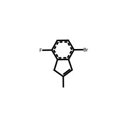 CC1=Cc2c(Br)ccc(F)c2[CH]1